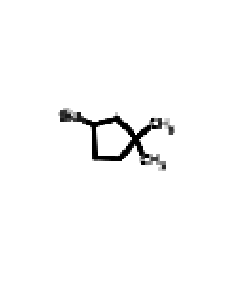 CC1(C)[CH]C(C(C)(C)C)CC1